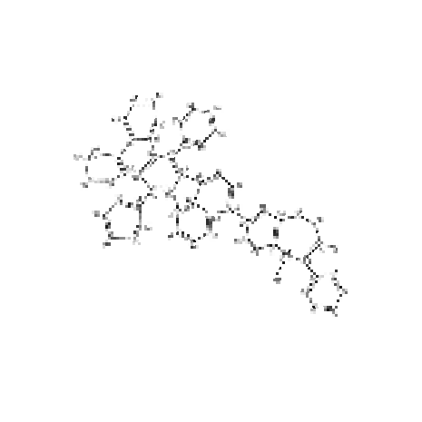 CC1=C(c2ccccc2)N(C)c2ccc(-c3ccc4c5c(cccc35)-c3c(-c5ccccc5)c(-c5ccccc5)c(-c5ccccc5)c(-c5ccccc5)c3-4)cc2CC1